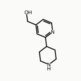 OCc1ccnc(C2CCNCC2)c1